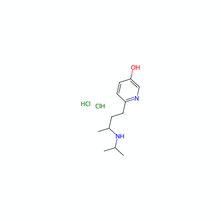 CC(C)NC(C)CCc1ccc(O)cn1.Cl.Cl